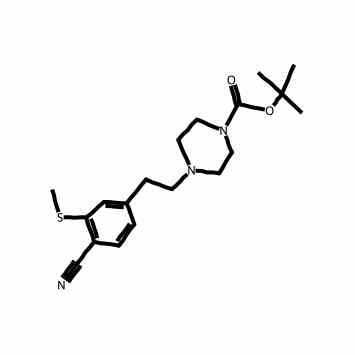 CSc1cc(CCN2CCN(C(=O)OC(C)(C)C)CC2)ccc1C#N